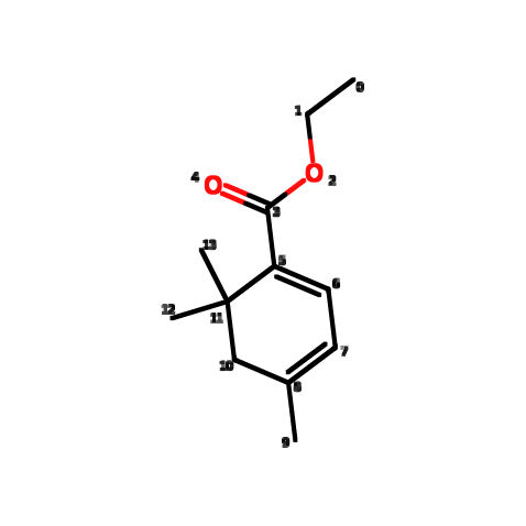 CCOC(=O)C1=CC=C(C)CC1(C)C